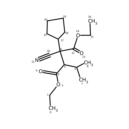 CCOC(=O)C(C(C)C)C(C#N)(C(=O)OCC)C1CCCC1